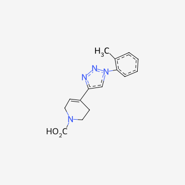 Cc1ccccc1-n1cc(C2=CCN(C(=O)O)CC2)nn1